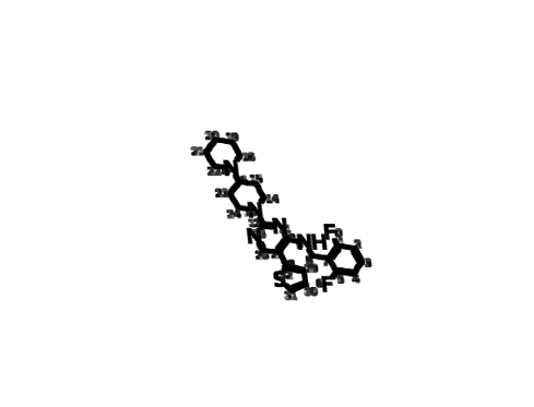 Fc1cccc(F)c1CNc1nc(N2CCC(N3CCCCC3)CC2)ncc1-c1cccs1